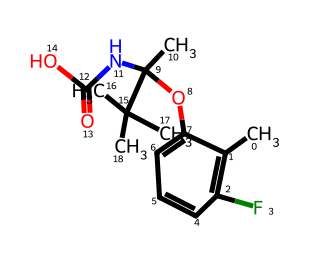 Cc1c(F)cccc1OC(C)(NC(=O)O)C(C)(C)C